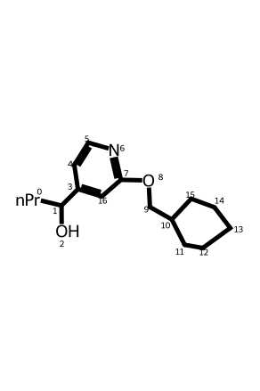 CCCC(O)c1ccnc(OCC2CCCCC2)c1